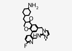 Cc1nc(F)ccc1-c1cc(Cn2ccn(C)c2=N)cc2c1OCC(CC1CCC(N)CC1)C2=O